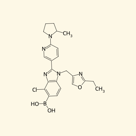 CCc1nc(Cn2c(-c3ccc(N4CCCC4C)nc3)nc3c(Cl)c(B(O)O)ccc32)co1